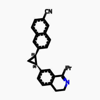 CC(C)C1=NCCc2ccc([C@@H]3C[C@H]3c3ccc4cc(C#N)ccc4c3)cc21